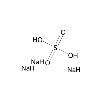 O=S(=O)(O)O.[NaH].[NaH].[NaH]